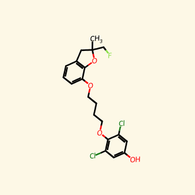 CC1(CF)Cc2cccc(OCCCCOc3c(Cl)cc(O)cc3Cl)c2O1